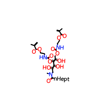 C=C(C)C(=O)OCCNC(=O)OC[C@@H](O)[C@@H](OC(=O)NCCOC(=O)C(=C)C)[C@H](O)[C@@H](O)CN(C)C(=O)CCCCCCC